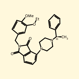 CCOc1cc(CN2C(=O)c3cccc(N4CCN([C@H](C)c5ccccc5)CC4)c3C2=O)ccc1OC